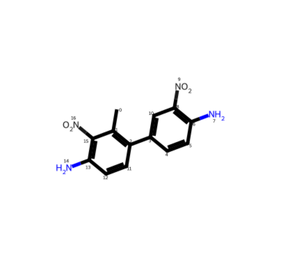 Cc1c(-c2ccc(N)c([N+](=O)[O-])c2)ccc(N)c1[N+](=O)[O-]